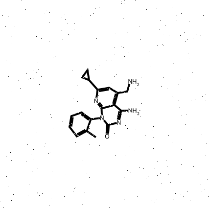 Cc1ccccc1-n1c(=O)nc(N)c2c(CN)cc(C3CC3)nc21